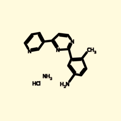 Cc1ccc(N)cc1-c1nccc(-c2cccnc2)n1.Cl.N